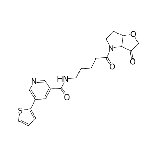 O=C(NCCCCC(=O)N1CCC2OCC(=O)C21)c1cncc(-c2cccs2)c1